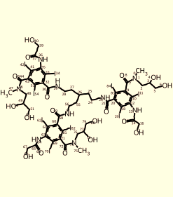 CN(CC(O)CO)C(=O)c1c(I)c(NC(=O)CO)c(I)c(C(=O)NCCC(CCNC(=O)c2c(I)c(NC(=O)CO)c(I)c(C(=O)N(C)CC(O)CO)c2I)CCNC(=O)c2c(I)c(NC(=O)CO)c(I)c(C(=O)N(C)CC(O)CO)c2I)c1I